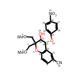 COCC1(COC)Oc2ccc(C#N)cc2[C@@H](Oc2ccc([N+](=O)[O-])cc2)[C@@H]1O